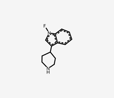 Fn1cc(C2CCNCC2)c2ccccc21